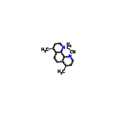 CC#N.Cc1ccnc2c1ccc1c(C)ccnc12